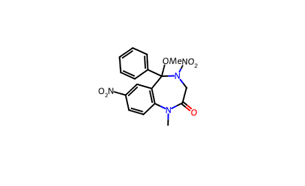 COC1(c2ccccc2)c2cc([N+](=O)[O-])ccc2N(C)C(=O)CN1[N+](=O)[O-]